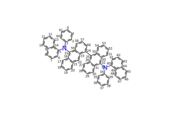 c1ccc(N(c2cccc3ccccc23)c2c3ccccc3cc3c(-c4c5ccccc5c(N(c5ccccc5)c5cccc6ccccc56)c5ccccc45)cccc23)cc1